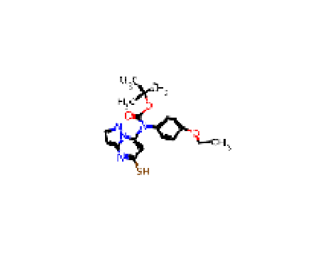 CCOc1ccc(N(C(=O)OC(C)(C)C)c2cc(S)nc3ccnn23)cc1